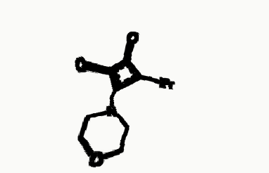 CC(C)c1c(N2CCOCC2)c(=O)c1=O